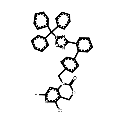 CCc1cc2c(c(CC)n1)COC(=O)N2Cc1ccc(-c2ccccc2-c2nnn(C(c3ccccc3)(c3ccccc3)c3ccccc3)n2)cc1